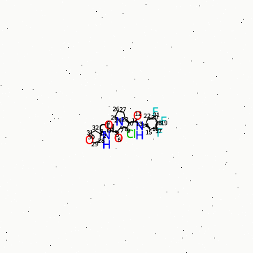 CC1(NC(=O)C(=O)c2c(Cl)c(C(=O)Nc3cc(F)c(F)c(F)c3)c3n2CCC3)CCOCC1